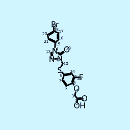 O=C(O)COc1ccc(SCn2ncn(-c3ccc(Br)cc3)c2=O)cc1F